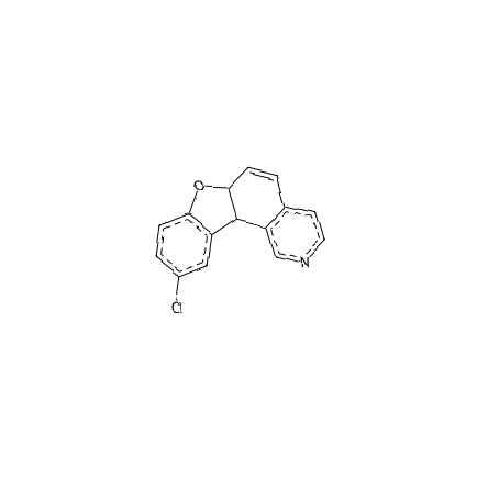 Clc1ccc2c(c1)C1c3cnccc3C=CC1O2